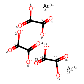 O=C([O-])C(=O)[O-].O=C([O-])C(=O)[O-].O=C([O-])C(=O)[O-].[Ac+3].[Ac+3]